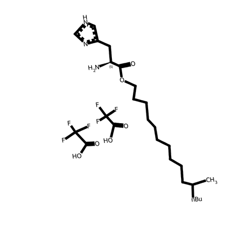 CCCCC(C)CCCCCCCCCCOC(=O)[C@@H](N)Cc1c[nH]cn1.O=C(O)C(F)(F)F.O=C(O)C(F)(F)F